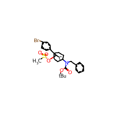 CC(C)(C)OC(=O)N(Cc1ccccc1)C12CCC(c3ccc(Br)cc3)(CC1)C(OS(C)(=O)=O)C2